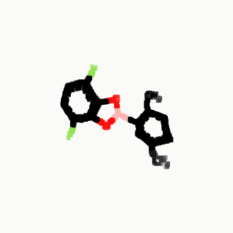 Cc1ccc(C(F)(F)F)cc1B1Oc2c(F)ccc(F)c2O1